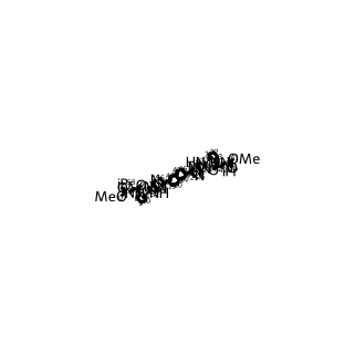 COC(=O)N[C@H](C(=O)N1CCC[C@@H]1c1nc2ncc(-c3ccc4cc(-c5cnc6nc([C@@H]7CCCN7C(=O)[C@@H](NC(=O)OC)C(C)C)[nH]c6n5)ccc4c3)nc2[nH]1)C(C)C